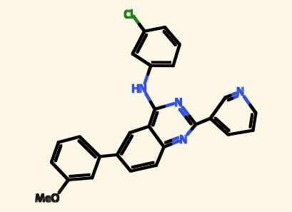 COc1cccc(-c2ccc3nc(-c4cccnc4)nc(Nc4cccc(Cl)c4)c3c2)c1